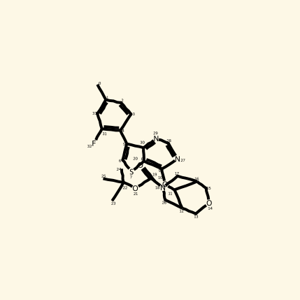 Cc1ccc(-c2csc3c(OC4C5COCC4CN(C(=O)OC(C)(C)C)C5)ncnc23)c(F)c1